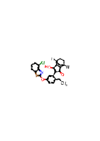 CCc1ccc(Oc2nc3c(Cl)cccc3s2)cc1C1=C(O)C2C(C1=O)[C@H]1CC[C@@H]2CC1